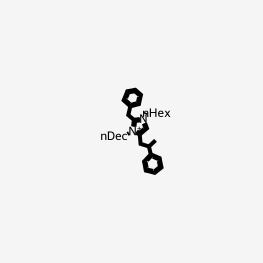 CCCCCCCCCC[n+]1c(CC(C)c2ccccc2)cn(CCCCCC)c1Cc1ccccc1